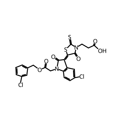 O=C(O)CCN1C(=O)/C(=C2/C(=O)N(CC(=O)OCc3cccc(Cl)c3)c3ccc(Cl)cc32)SC1=S